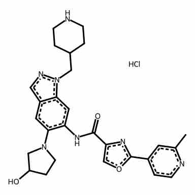 Cc1cc(-c2nc(C(=O)Nc3cc4c(cnn4CC4CCNCC4)cc3N3CCC(O)C3)co2)ccn1.Cl